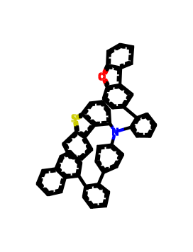 c1ccc(-c2cccc3ccccc23)c(-c2ccc(N(c3ccccc3-c3ccc4oc5ccccc5c4c3)c3cccc4sc5ccccc5c34)cc2)c1